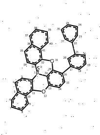 S=P12c3ccc4ccccc4c3Oc3ccc(-c4cccc(-c5ccccc5)c4)c(c31)Oc1c2ccc2ccccc12